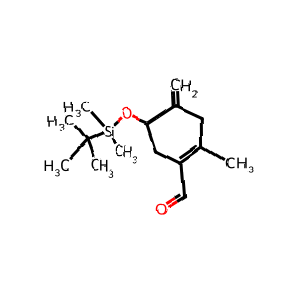 C=C1CC(C)=C(C=O)CC1O[Si](C)(C)C(C)(C)C